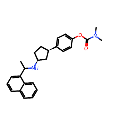 CC(N[C@H]1CC[C@@H](c2ccc(OC(=O)N(C)C)cc2)C1)c1cccc2ccccc12